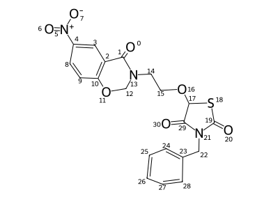 O=C1c2cc([N+](=O)[O-])ccc2OCN1CCOC1SC(=O)N(Cc2ccccc2)C1=O